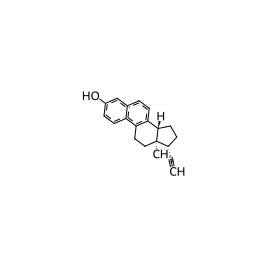 C#C[C@H]1CC[C@H]2c3ccc4cc(O)ccc4c3CC[C@]12C